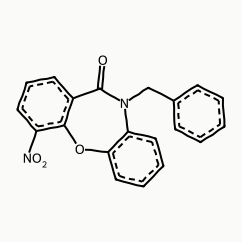 O=C1c2cccc([N+](=O)[O-])c2Oc2ccccc2N1Cc1ccccc1